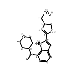 CN(c1cccc2cc(C3=N[C@@H](CC(=O)O)CS3)[nH]c12)C1CCOCC1